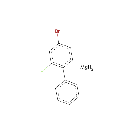 Fc1cc(Br)ccc1-c1ccccc1.[MgH2]